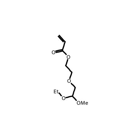 C=CC(=O)OCCOCC(OC)OCC